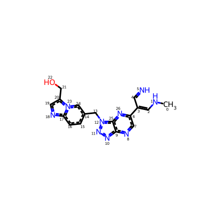 CN/C=C(\C=N)c1cnc2nnn(Cc3ccc4ncc(CO)n4c3)c2n1